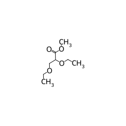 CCOCC(OCC)C(=O)OC